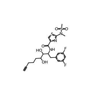 C#CCCCC(O)C(O)C(Cc1cc(F)cc(F)c1)NC(=O)c1csc(N(C)S(C)(=O)=O)n1